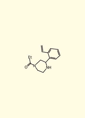 C=Cc1ccccc1C1CN(C(=O)CC)CCN1